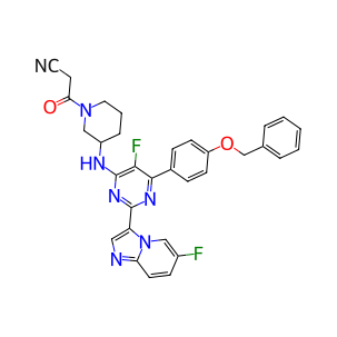 N#CCC(=O)N1CCCC(Nc2nc(-c3cnc4ccc(F)cn34)nc(-c3ccc(OCc4ccccc4)cc3)c2F)C1